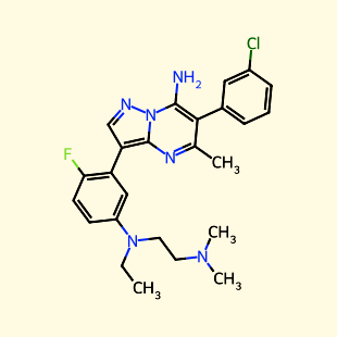 CCN(CCN(C)C)c1ccc(F)c(-c2cnn3c(N)c(-c4cccc(Cl)c4)c(C)nc23)c1